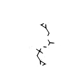 CC(BOC(C)(C)CC1CO1)OCC1CO1